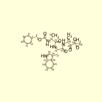 CC(NC(=O)OCc1ccccc1)C(=O)N[C@@H](Cc1c[nH]c2ccccc12)C(=O)NC(C)C(=O)C1(C)CO1